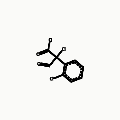 O=IC(Cl)(C(=O)Cl)c1ccccc1Cl